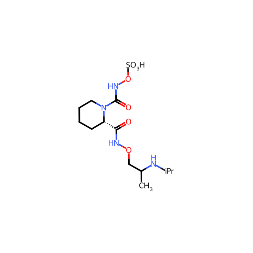 CC(C)NC(C)CONC(=O)[C@@H]1CCCCN1C(=O)NOS(=O)(=O)O